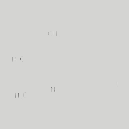 Cc1nc2cc(I)ccc2c(C)c1C